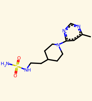 Cc1cc(N2CCC(CCNS(N)(=O)=O)CC2)ncn1